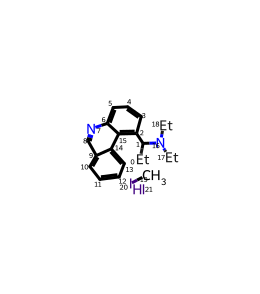 CCC(c1cccc2ncc3ccccc3c12)N(CC)CC.CI.I